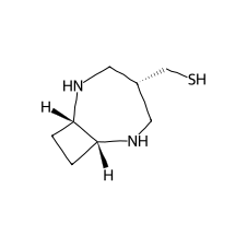 SC[C@H]1CN[C@H]2CC[C@H]2NC1